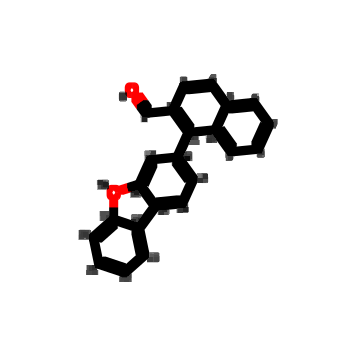 O=Cc1ccc2ccccc2c1-c1ccc2c(c1)oc1ccccc12